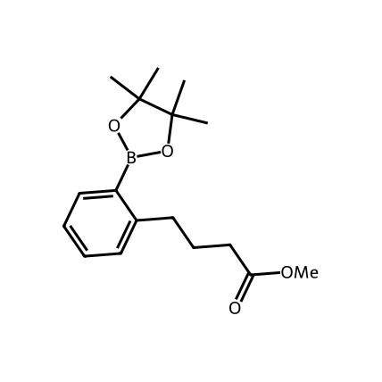 COC(=O)CCCc1ccccc1B1OC(C)(C)C(C)(C)O1